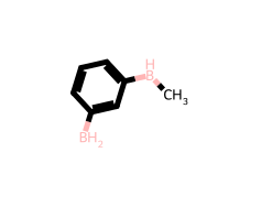 Bc1cccc(BC)c1